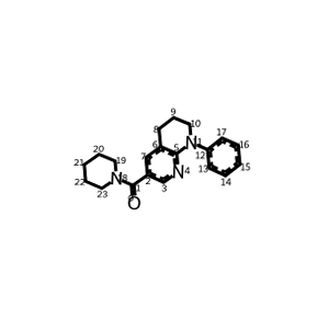 O=C(c1cnc2c(c1)CCCN2c1ccccc1)N1CCCCC1